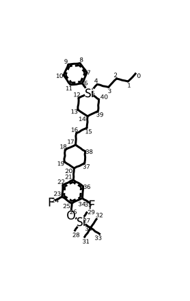 CCCCC[Si]1(c2ccccc2)CCC(CCC2CCC(c3cc(F)c(O[Si](C)(C)C(C)(C)C)c(F)c3)CC2)CC1